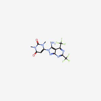 Cn1c(-n2nc3nc(C(F)(F)F)nc(C(F)(F)F)c3c2N)cc(=O)n(C)c1=O